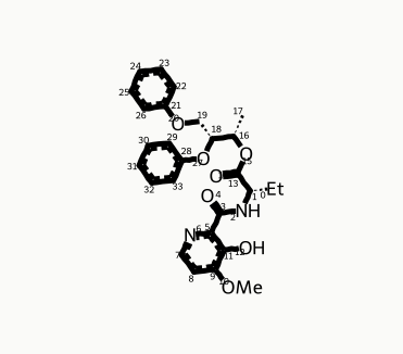 CC[C@H](NC(=O)c1nccc(OC)c1O)C(=O)O[C@@H](C)[C@@H](COc1ccccc1)Oc1ccccc1